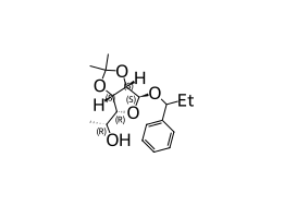 CCC(O[C@H]1O[C@H]([C@@H](C)O)[C@@H]2OC(C)(C)O[C@H]12)c1ccccc1